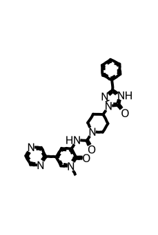 Cn1cc(-c2cnccn2)cc(NC(=O)N2CCC(n3nc(-c4ccccc4)[nH]c3=O)CC2)c1=O